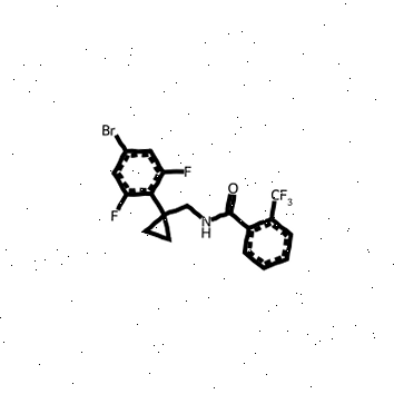 O=C(NCC1(c2c(F)cc(Br)cc2F)CC1)c1ccccc1C(F)(F)F